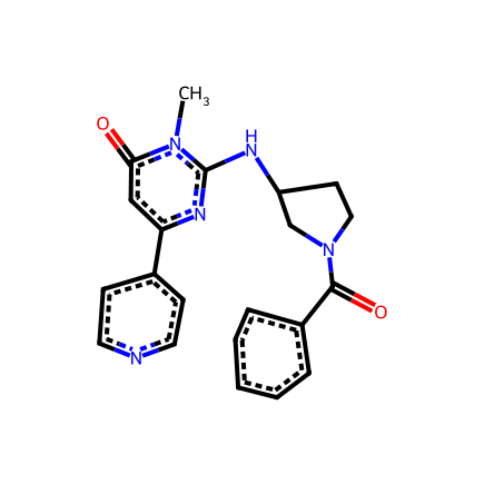 Cn1c(NC2CCN(C(=O)c3ccccc3)C2)nc(-c2ccncc2)cc1=O